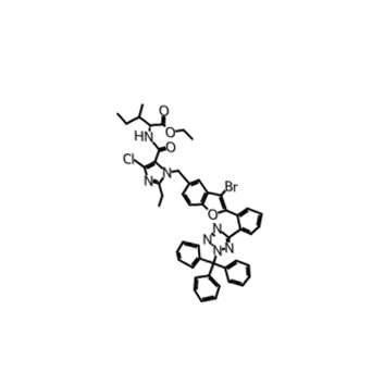 CCOC(=O)[C@@H](NC(=O)c1c(Cl)nc(CC)n1Cc1ccc2oc(-c3ccccc3-c3nnn(C(c4ccccc4)(c4ccccc4)c4ccccc4)n3)c(Br)c2c1)C(C)CC